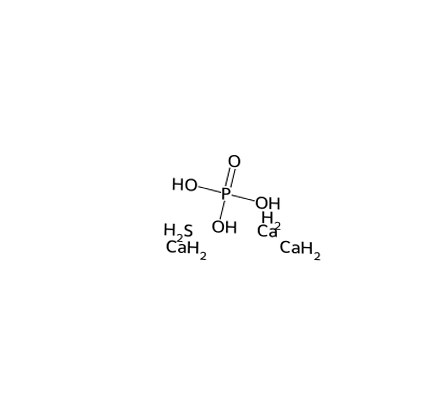 O=P(O)(O)O.S.[CaH2].[CaH2].[CaH2]